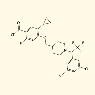 O=C(Cl)c1cc(C2CC2)c(OCC2CCN(C(c3cc(Cl)cc(Cl)c3)C(F)(F)F)CC2)cc1F